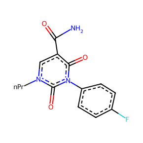 CCCn1cc(C(N)=O)c(=O)n(-c2ccc(F)cc2)c1=O